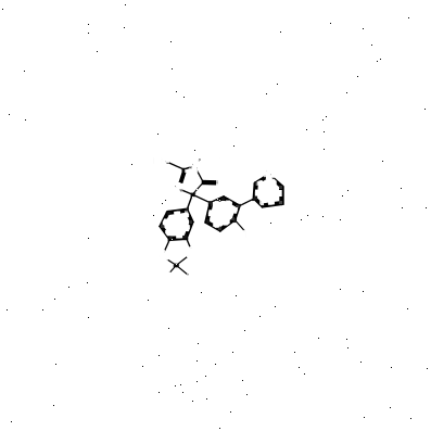 CN1C(=O)C(c2ccc3c(c2)OC(F)(F)O3)(c2ccc(F)c(-c3cccnc3)c2)N=C1N